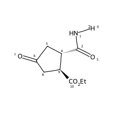 [2H]NC(=O)[C@H]1CC(=O)C[C@@H]1C(=O)OCC